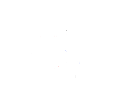 CC(N)C(=O)N(CC(=O)O)C(=O)C1CCCN1O